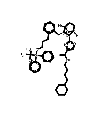 CC(C)(C)[Si](OCCCc1ccccc1C[C@@H]1[C@H](c2nc(C(=O)NCCCCC3CCCCC3)co2)[C@H]2CC[C@@H]1O2)(c1ccccc1)c1ccccc1